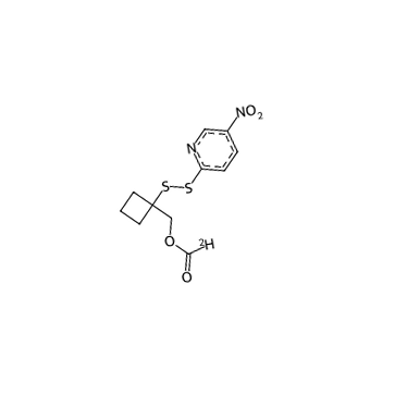 [2H]C(=O)OCC1(SSc2ccc([N+](=O)[O-])cn2)CCC1